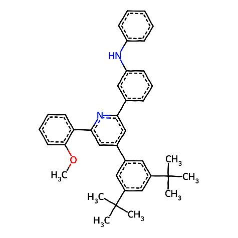 COc1ccccc1-c1cc(-c2cc(C(C)(C)C)cc(C(C)(C)C)c2)cc(-c2cccc(Nc3ccccc3)c2)n1